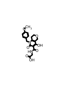 COc1ccc(Cn2c3c(c(O)c(C(=O)NCC(=O)O)c2=O)COCC3)cc1